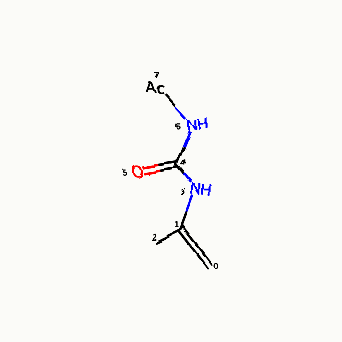 C=C(C)NC(=O)NC(C)=O